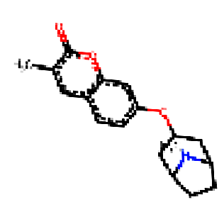 Cc1cc2ccc(OC3CC4CCC(C3)N4C)cc2oc1=O